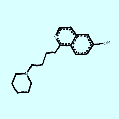 Oc1ccc2c(CCCCN3CCCCC3)nccc2c1